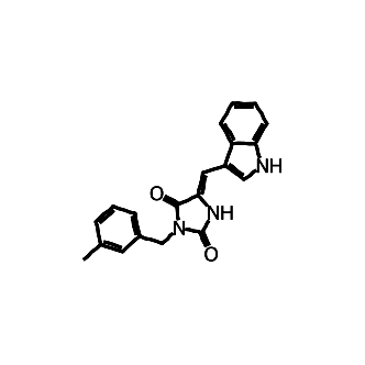 Cc1cccc(CN2C(=O)N/C(=C\c3c[nH]c4ccccc34)C2=O)c1